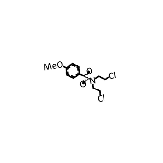 COc1ccc(S(=O)(=O)N(CCCl)CCCl)cc1